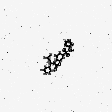 O=c1oc2cc(S(=O)(=O)Nc3ncns3)ccc2n1C(c1ccccc1)C1CC1